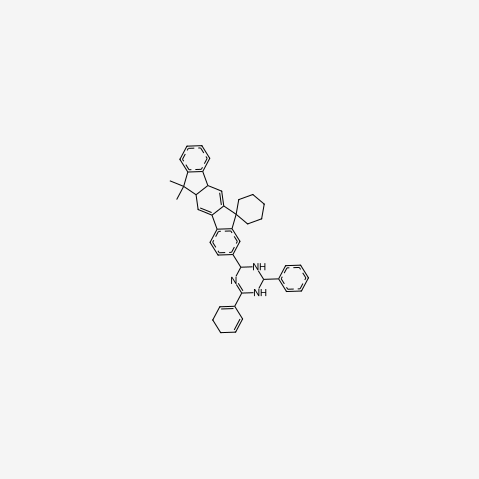 CC1(C)c2ccccc2C2C=C3C(=CC21)c1ccc(C2N=C(C4=CCCC=C4)NC(c4ccccc4)N2)cc1C31CCCCC1